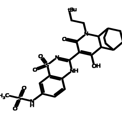 CC(C)(C)CCN1C(=O)C(C2=NS(=O)(=O)c3cc(NS(C)(=O)=O)ccc3N2)=C(O)C2C3CCC(CC3)C21